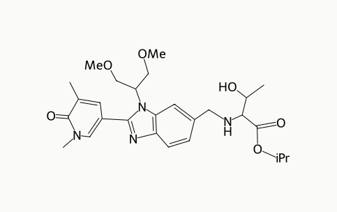 COCC(COC)n1c(-c2cc(C)c(=O)n(C)c2)nc2ccc(CNC(C(=O)OC(C)C)C(C)O)cc21